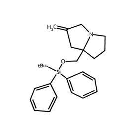 C=C1CN2CCCC2(CO[Si](c2ccccc2)(c2ccccc2)C(C)(C)C)C1